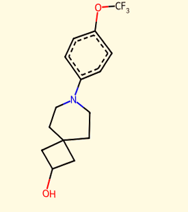 OC1CC2(CCN(c3ccc(OC(F)(F)F)cc3)CC2)C1